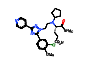 COc1ccc(-c2nc(-c3ccncc3)nn2CCN(C2CCCC2)[C@@H](CCC(=O)O)C(=O)NC(C)=O)cc1Cl